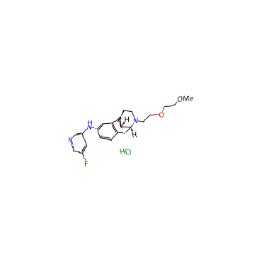 COCCOCCN1CC[C@]23CCCC[C@H]2[C@H]1Cc1ccc(Nc2cncc(F)c2)cc13.Cl